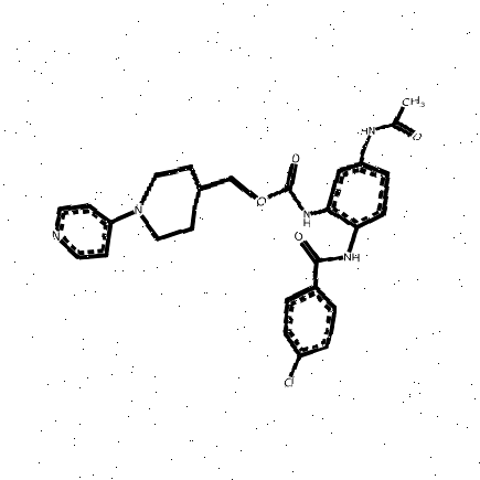 CC(=O)Nc1ccc(NC(=O)c2ccc(Cl)cc2)c(NC(=O)OCC2CCN(c3ccncc3)CC2)c1